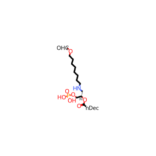 CCCCCCCCCCC(=O)O[C@@H](CNCCCCCCCCOC=O)COP(=O)(O)O